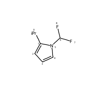 CC(C)c1cccn1C(F)F